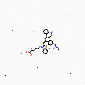 CCN(CC)Cc1ccc(C(=C\c2sc3ccccc3[n+]2CCCCCC(=O)[O-])/C=C2\C=CN(C)c3ccccc32)cc1